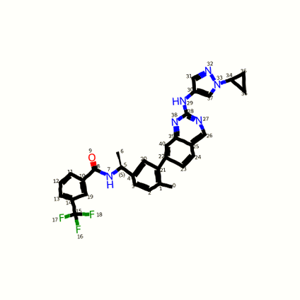 Cc1ccc([C@H](C)NC(=O)c2cccc(C(F)(F)F)c2)cc1-c1ccc2cnc(Nc3cnn(C4CC4)c3)nc2c1